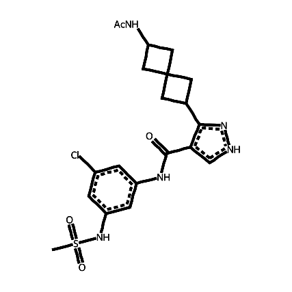 CC(=O)NC1CC2(C1)CC(c1n[nH]cc1C(=O)Nc1cc(Cl)cc(NS(C)(=O)=O)c1)C2